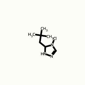 CC(C)(C)CC1NN=CN1Cl